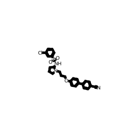 N#Cc1ccc(-c2ccc(OCCCN3CCCC3NS(=O)(=O)c3cccc(Cl)c3)cc2)cc1